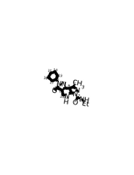 CCNC(=O)n1nc(C)c2c3nn(-c4ccccc4)c(=O)c-3c[nH]c21